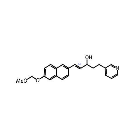 COCOc1ccc2cc(/C=C/C(O)CCc3cccnc3)ccc2c1